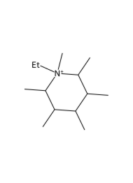 CC[N+]1(C)C(C)C(C)C(C)C(C)C1C